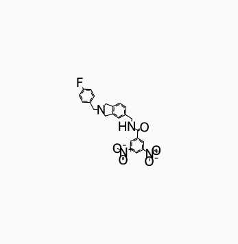 O=C(NCc1ccc2c(c1)CN(Cc1ccc(F)cc1)C2)c1cc([N+](=O)[O-])cc([N+](=O)[O-])c1